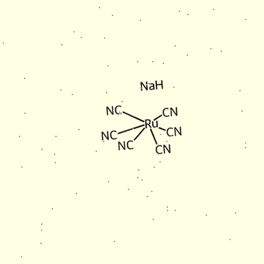 N#[C][Ru]([C]#N)([C]#N)([C]#N)([C]#N)[C]#N.[NaH]